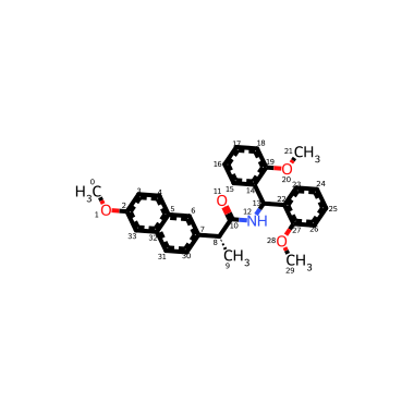 COc1ccc2cc([C@@H](C)C(=O)NC(c3ccccc3OC)c3ccccc3OC)ccc2c1